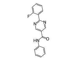 O=C(Nc1ccccc1)c1cnc(-c2ccccc2F)nc1